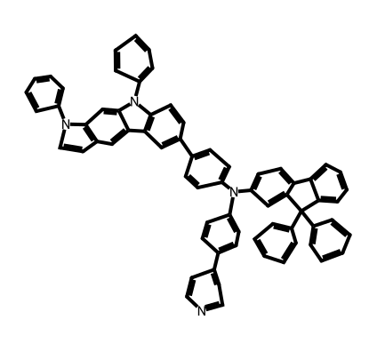 c1ccc(-n2ccc3cc4c5cc(-c6ccc(N(c7ccc(-c8ccncc8)cc7)c7ccc8c(c7)C(c7ccccc7)(c7ccccc7)c7ccccc7-8)cc6)ccc5n(-c5ccccc5)c4cc32)cc1